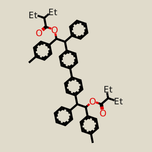 CCC(CC)C(=O)OC(c1ccc(C)cc1)C(c1ccccc1)c1ccc(-c2ccc(C(c3ccccc3)C(OC(=O)C(CC)CC)c3ccc(C)cc3)cc2)cc1